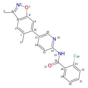 Cc1cc2c(C)noc2cc1-c1ccc(NC(=O)c2ccccc2F)nc1